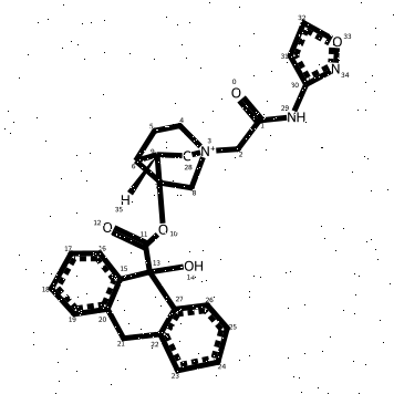 O=C(C[N+]12CCC(CC1)[C@@H](OC(=O)C1(O)c3ccccc3Cc3ccccc31)C2)Nc1ccon1